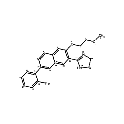 COCCOc1cc2ccc(-c3ccccc3F)cc2cc1C1=NCCN1